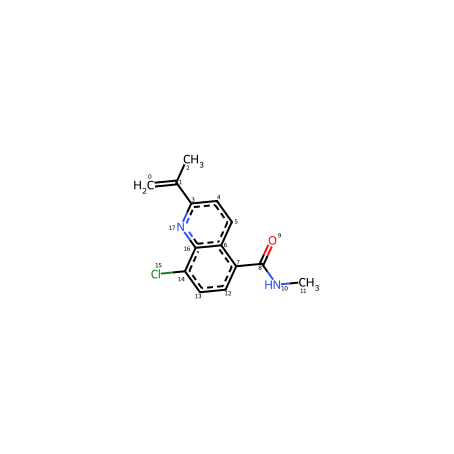 C=C(C)c1ccc2c(C(=O)NC)ccc(Cl)c2n1